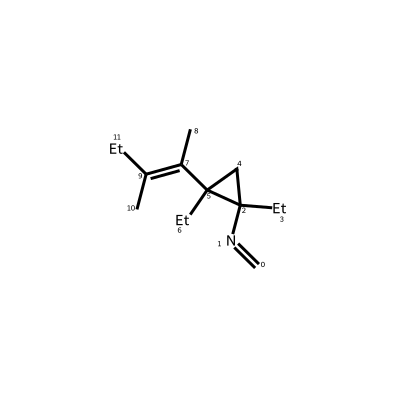 C=NC1(CC)CC1(CC)/C(C)=C(\C)CC